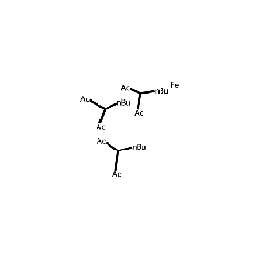 CCCCC(C(C)=O)C(C)=O.CCCCC(C(C)=O)C(C)=O.CCCCC(C(C)=O)C(C)=O.[Fe]